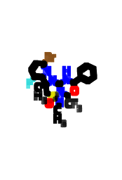 CN=S1(=O)CC(C)(c2nc(Br)ccc2F)N=C(NC(=O)c2ccccc2)N1CC(F)(F)F